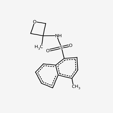 Cc1ccc(S(=O)(=O)NC2(C)COC2)c2ccccc12